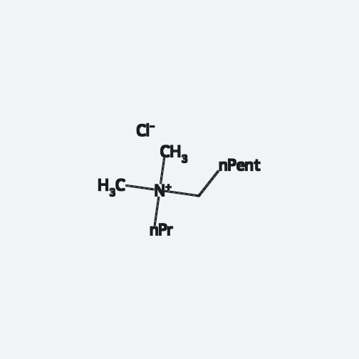 CCCCCC[N+](C)(C)CCC.[Cl-]